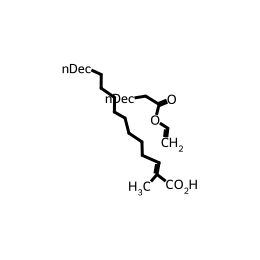 C=COC(=O)CCCCCCCCCCC.CCCCCCCCCCCCCCCCCCC=C(C)C(=O)O